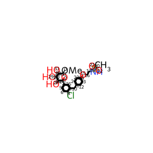 CO[C@H]1O[C@@H](c2ccc(Cl)c(Cc3ccc(OCCNS(C)(=O)=O)cc3)c2)[C@@H](O)[C@@H](O)[C@@H]1O